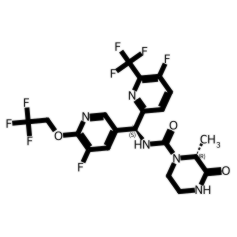 C[C@@H]1C(=O)NCCN1C(=O)N[C@@H](c1cnc(OCC(F)(F)F)c(F)c1)c1ccc(F)c(C(F)(F)F)n1